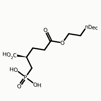 CCCCCCCCCCCCOC(=O)CC[C@@H](CP(=O)(O)O)C(=O)O